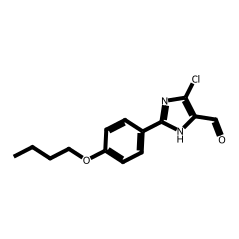 CCCCOc1ccc(-c2nc(Cl)c(C=O)[nH]2)cc1